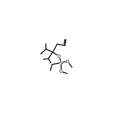 C=CCC(O[Si](CC)(OC)OC)(C(C)C)C(C)C